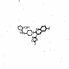 Cc1nc(-c2cc3cc(F)ccc3nc2N2CCC(NC3CCC[C@@H]3O)CC2)no1